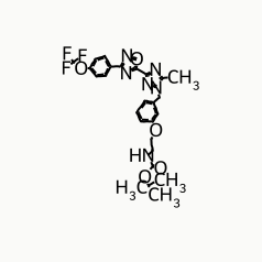 Cc1nc(-c2nc(-c3ccc(OC(F)(F)F)cc3)no2)nn1Cc1cccc(OCCNC(=O)OC(C)(C)C)c1